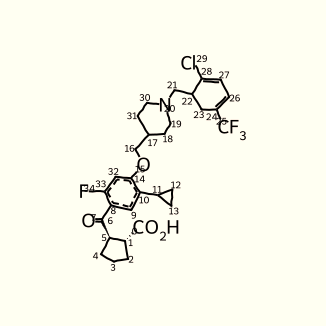 O=C(O)[C@@H]1CCC[C@H]1C(=O)c1cc(C2CC2)c(OCC2CCN(CC3CC(C(F)(F)F)=CC=C3Cl)CC2)cc1F